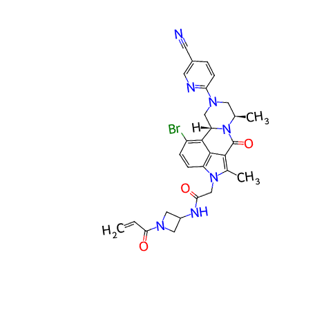 C=CC(=O)N1CC(NC(=O)Cn2c(C)c3c4c(c(Br)ccc42)[C@@H]2CN(c4ccc(C#N)cn4)C[C@@H](C)N2C3=O)C1